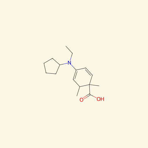 CCN(C1=CC(C)C(C)(C(=O)O)C=C1)C1CCCC1